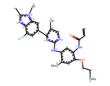 C=CC(=O)Nc1cc(Nc2ncc(C#N)c(-c3cc(F)c4nc(C)n(C(C)C)c4c3)n2)c(OC)cc1OCCOC